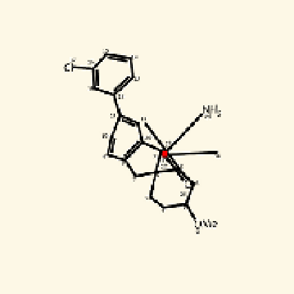 COC1CCC2(CC1)Cc1ccc(-c3cccc(Cl)c3)cc1C21N=C(N)N(C)C1=O